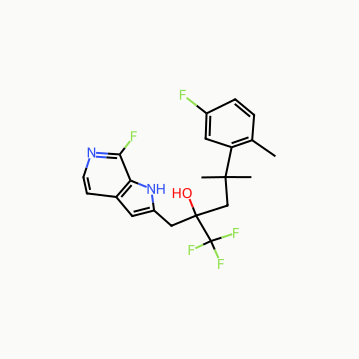 Cc1ccc(F)cc1C(C)(C)CC(O)(Cc1cc2ccnc(F)c2[nH]1)C(F)(F)F